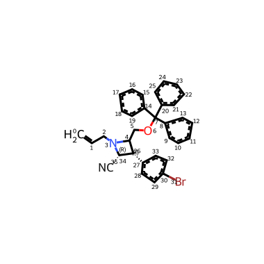 C=CCN1C(COC(c2ccccc2)(c2ccccc2)c2ccccc2)[C@H](c2ccc(Br)cc2)[C@@H]1C#N